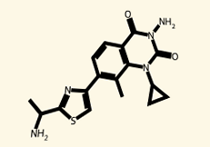 Cc1c(-c2csc(C(C)N)n2)ccc2c(=O)n(N)c(=O)n(C3CC3)c12